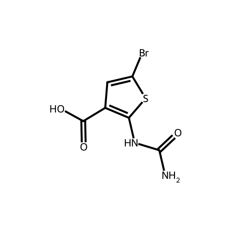 NC(=O)Nc1sc(Br)cc1C(=O)O